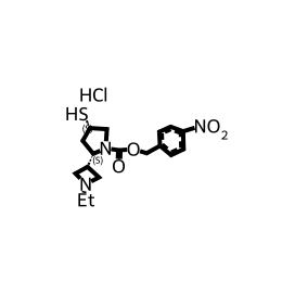 CCN1CC([C@@H]2C[C@H](S)CN2C(=O)OCc2ccc([N+](=O)[O-])cc2)C1.Cl